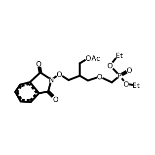 CCOP(=O)(COCC(COC(C)=O)CON1C(=O)c2ccccc2C1=O)OCC